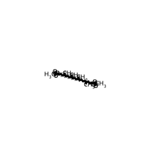 C/C(=C\CC/C=C(\C)CCCOS(C)(=O)=O)CC/C=C(\C)CC/C=C(\C)CCCOS(C)(=O)=O